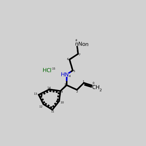 C=CCC(NCCCCCCCCCCCC)c1ccccc1.Cl